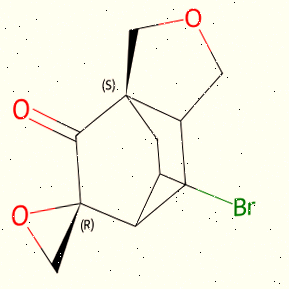 O=C1[C@]23COCC2CC(C(Br)C3)[C@@]12CO2